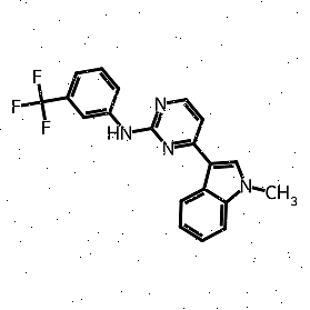 Cn1cc(-c2ccnc(Nc3cccc(C(F)(F)F)c3)n2)c2ccccc21